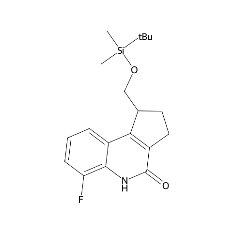 CC(C)(C)[Si](C)(C)OCC1CCc2c1c1cccc(F)c1[nH]c2=O